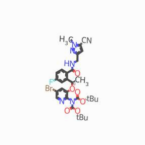 C[C@@H](Oc1cc(Br)cnc1N(C(=O)OC(C)(C)C)C(=O)OC(C)(C)C)c1cc(F)ccc1C(=O)NCc1cc(C#N)n(C)n1